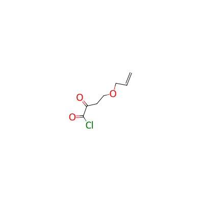 C=CCOCCC(=O)C(=O)Cl